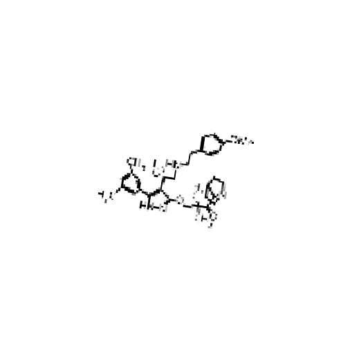 COc1ccc(CCNC[C@@H](C)c2c(OCC(C)(C)C(=O)C3C4CCN3CC4)n[nH]c2-c2cc(C)cc(C)c2)cc1